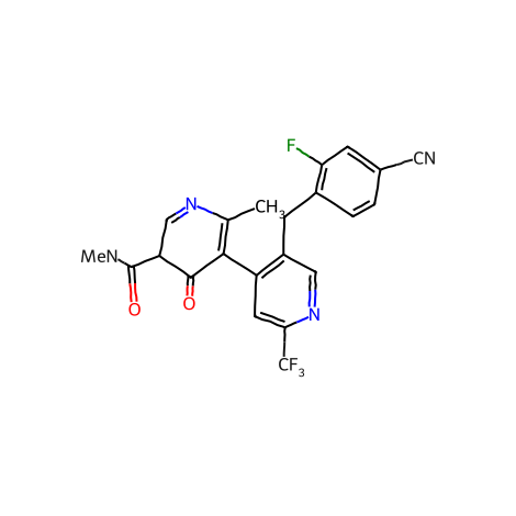 CNC(=O)C1C=NC(C)=C(c2cc(C(F)(F)F)ncc2Cc2ccc(C#N)cc2F)C1=O